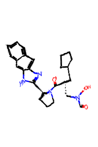 O=CN(O)C[C@@H](CC1CCCC1)C(=O)N1CCC[C@H]1c1nc2cc3ccccc3cc2[nH]1